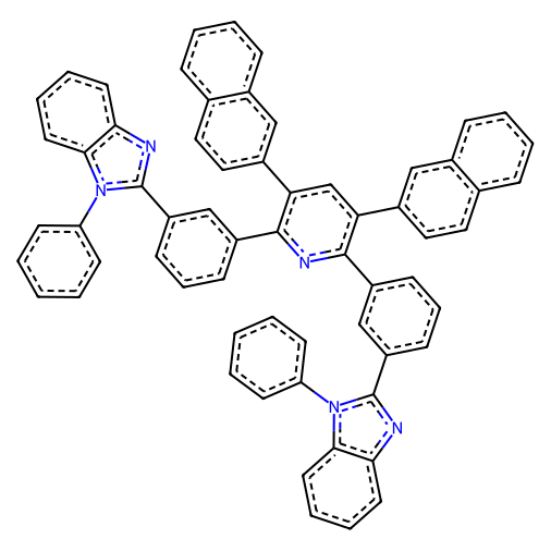 c1ccc(-n2c(-c3cccc(-c4nc(-c5cccc(-c6nc7ccccc7n6-c6ccccc6)c5)c(-c5ccc6ccccc6c5)cc4-c4ccc5ccccc5c4)c3)nc3ccccc32)cc1